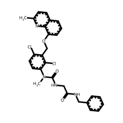 Cc1ccc2cccc(OCc3c(Cl)ccc(N(C)C(=O)NCC(=O)NCc4ccccc4)c3Cl)c2n1